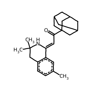 Cc1ccc2c(c1)C(=CC(=O)C13CC4CC(CC(C4)C1)C3)NC(C)(C)C2